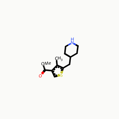 COC(=O)c1csc(CC2CCNCC2)c1C